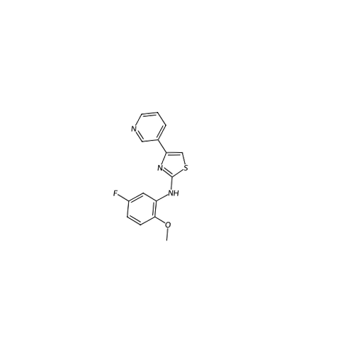 COc1ccc(F)cc1Nc1nc(-c2cccnc2)cs1